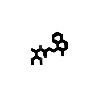 COC(OC)C(C)NC(=O)CCc1c(C)ccc2ccccc12